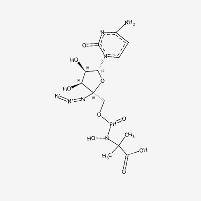 CC(C)(C(=O)O)N(O)[PH](=O)OC[C@@]1(N=[N+]=[N-])O[C@@H](n2ccc(N)nc2=O)[C@H](O)[C@@H]1O